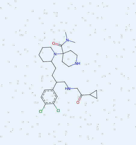 CN(C)C(=O)C1(N2CCCCC2CCC(CNCC(=O)C2CC2)c2ccc(Cl)c(Cl)c2)CCNCC1